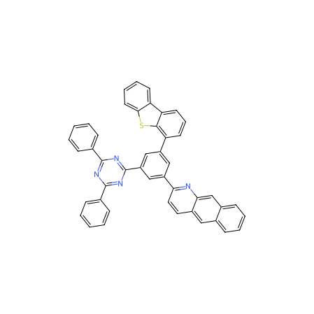 c1ccc(-c2nc(-c3ccccc3)nc(-c3cc(-c4ccc5cc6ccccc6cc5n4)cc(-c4cccc5c4sc4ccccc45)c3)n2)cc1